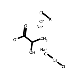 CC(O)C(=O)[O-].[Cl-].[Cl][Ca][Cl].[Cl][K].[Na+].[Na+]